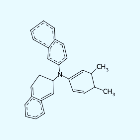 CC1C=CC(N(c2ccc3ccccc3c2)C2C=c3ccccc3=CC2)=CC1C